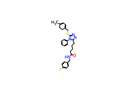 CC1=CC=C(CSc2nnc(CCCCC(=O)NCc3ccc(F)cc3)n2-c2ccccc2)CC1